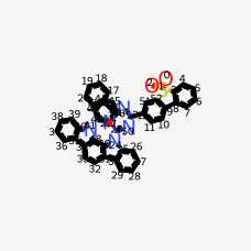 O=S1(=O)c2ccccc2-c2ccc(-c3nc(-c4ccccc4)nc(-n4c5ccccc5c5ccc6c7ccccc7n(-c7ccccc7)c6c54)n3)cc21